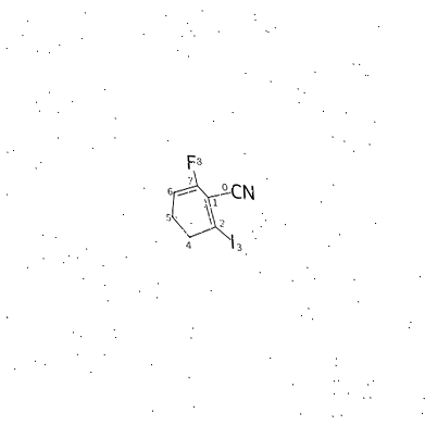 N#CC1=C(I)CCC=C1F